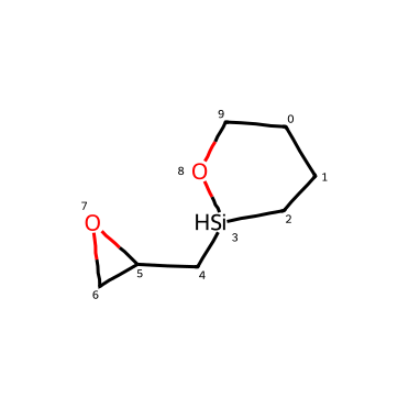 C1CC[SiH](CC2CO2)OC1